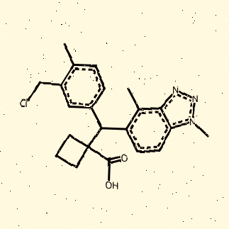 Cc1ccc(C(c2ccc3c(nnn3C)c2C)C2(C(=O)O)CCC2)cc1CCl